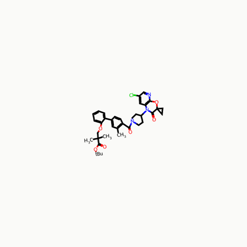 Cc1cc(-c2ccccc2OCC(C)(C)C(=O)OC(C)(C)C)ccc1C(=O)N1CCC(N2C(=O)C3(CC3)Oc3ncc(Cl)cc32)CC1